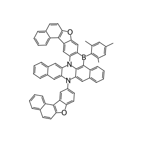 Cc1cc(C)c(B2c3cc4oc5ccc6ccccc6c5c4cc3N3c4cc5ccccc5cc4N(c4ccc5oc6ccc7ccccc7c6c5c4)c4cc5ccccc5c2c43)c(C)c1